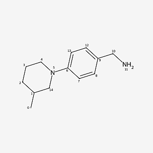 CC1CCCN(c2ccc(CN)cc2)C1